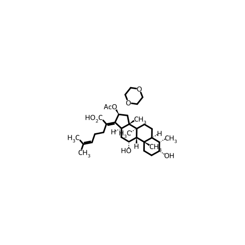 C1COCCO1.CC(=O)O[C@H]1C[C@@]2(C)[C@@H](C[C@@H](O)[C@H]3[C@@]4(C)CC[C@@H](O)[C@@H](C)[C@@H]4CC[C@@]32C)/C1=C(\CCC=C(C)C)C(=O)O